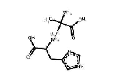 CC(N)(N)C(=O)O.NC(Cc1c[nH]cn1)C(=O)O